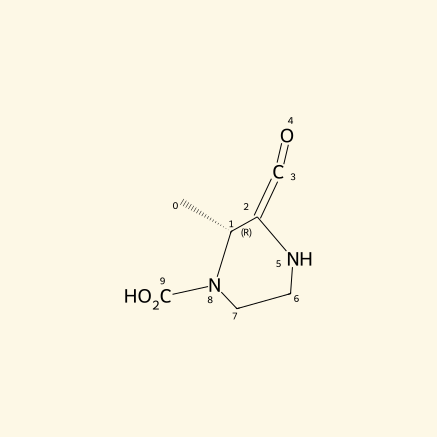 C[C@@H]1C(=C=O)NCCN1C(=O)O